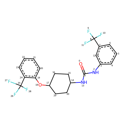 O=C(Nc1cccc(C(F)(F)F)c1)NC1CCC(Oc2ccccc2C(F)(F)F)CC1